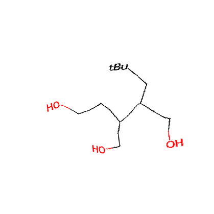 CC(C)(C)CC(CO)C(CO)CCO